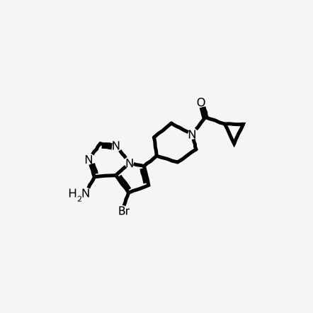 Nc1ncnn2c(C3CCN(C(=O)C4CC4)CC3)cc(Br)c12